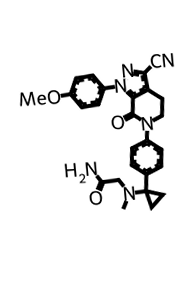 COc1ccc(-n2nc(C#N)c3c2C(=O)N(c2ccc(C4(N(C)CC(N)=O)CC4)cc2)CC3)cc1